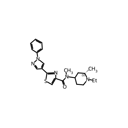 CCN1CCC(N(C)C(=O)c2csc(-c3cnn(-c4ccccc4)c3)n2)C[C@@H]1C